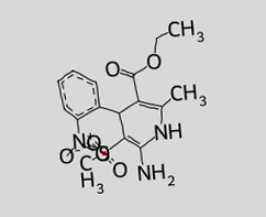 CCOC(=O)C1=C(C)NC(N)=C(S(C)(=O)=O)C1c1ccccc1[N+](=O)[O-]